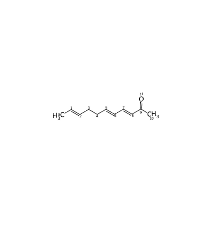 C/C=C/CC/C=C/C=C/C(C)=O